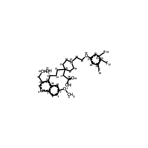 COc1ccc2ncc(CO)c([C@H](O)CCC3(CC(=O)O)CCN(CCOc4cc(F)c(F)c(F)c4)CC3)c2c1